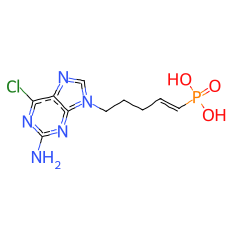 Nc1nc(Cl)c2ncn(CCCC=CP(=O)(O)O)c2n1